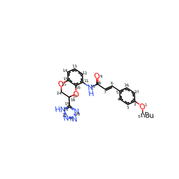 CCCCOc1ccc(C=CC(=O)Nc2cccc3c2OC(c2nnn[nH]2)CO3)cc1